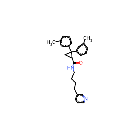 Cc1cccc(C2(c3cccc(C)c3)C[C@@H]2C(=O)NCCCCc2cccnc2)c1